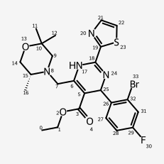 CCOC(=O)C1=C(CN2CC(C)(C)OC[C@H]2C)NC(c2nccs2)=NC1c1ccc(F)cc1Br